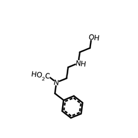 O=C(O)N(CCNCCO)Cc1ccccc1